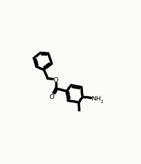 CC1C=C(C(=O)OCc2ccccc2)C=CC1N